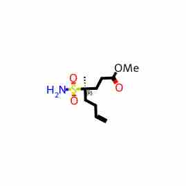 C=CCC[C@](C)(CCC(=O)OC)S(N)(=O)=O